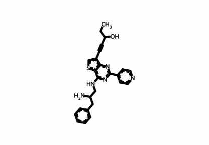 CCC(O)C#Cc1csc2c(NCC(N)Cc3ccccc3)nc(-c3ccncc3)nc12